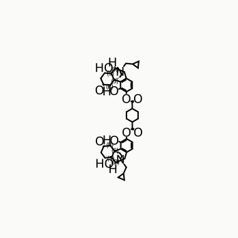 O=C(Oc1ccc2c3c1O[C@H]1C(=O)CC[C@@]4(O)[C@@H](C2)N(CC2CC2)CC[C@]314)C1CCC(C(=O)Oc2ccc3c4c2O[C@H]2C(=O)CC[C@@]5(O)[C@@H](C3)N(CC3CC3)CC[C@]425)CC1